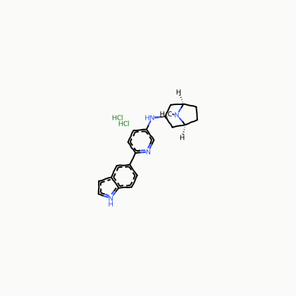 CN1[C@@H]2CC[C@H]1C[C@@H](Nc1ccc(-c3ccc4[nH]ccc4c3)nc1)C2.Cl.Cl